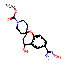 CC(C)(C)OC(=O)N1CCC2(CC1)CC(O)c1cc(/C(N)=N/O)ccc1O2